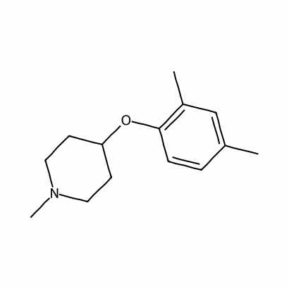 Cc1ccc(OC2CCN(C)CC2)c(C)c1